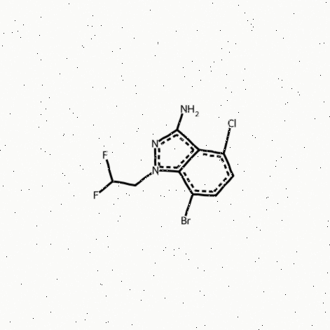 Nc1nn(CC(F)F)c2c(Br)ccc(Cl)c12